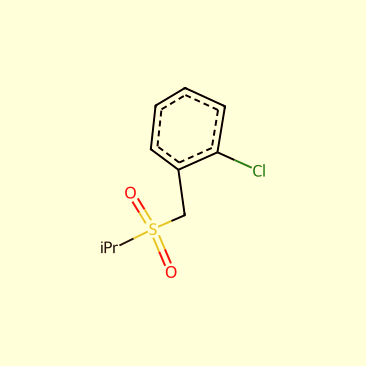 CC(C)S(=O)(=O)Cc1ccccc1Cl